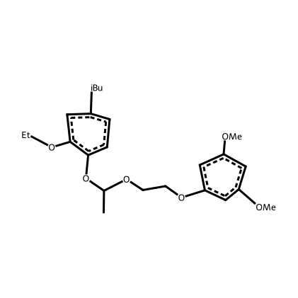 CCOc1cc(C(C)CC)ccc1OC(C)OCCOc1cc(OC)cc(OC)c1